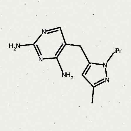 Cc1cc(Cc2cnc(N)nc2N)n(C(C)C)n1